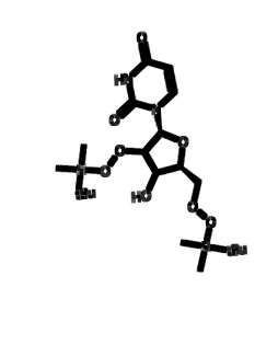 CC(C)(C)[Si](C)(C)OOC[C@@H]1O[C@H](n2ccc(=O)[nH]c2=O)C(OO[Si](C)(C)C(C)(C)C)C1O